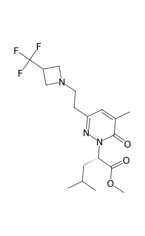 COC(=O)[C@H](CC(C)C)n1nc(CCN2CC(C(F)(F)F)C2)cc(C)c1=O